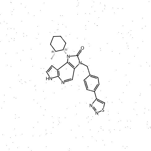 C[C@@H]1CCCC[C@@H]1n1c(=O)n(Cc2ccc(-c3csnn3)cc2)c2cnc3[nH]ccc3c21